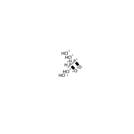 Cl.Cl.Cl.Cl.O=[PH3].O=[PH3]